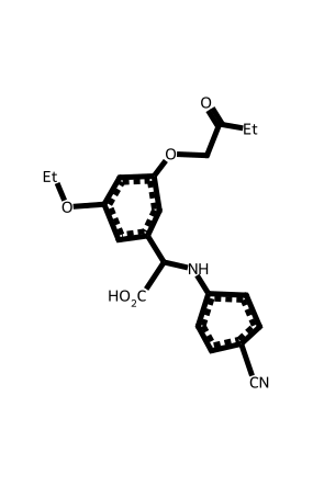 CCOc1cc(OCC(=O)CC)cc(C(Nc2ccc(C#N)cc2)C(=O)O)c1